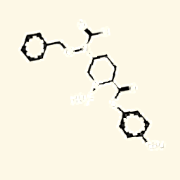 CC(C)(C)c1ccc(SC(=O)[C@@H]2CC[C@@H](N(OCc3ccccc3)C(=O)Cl)CN2C(=O)O)cc1